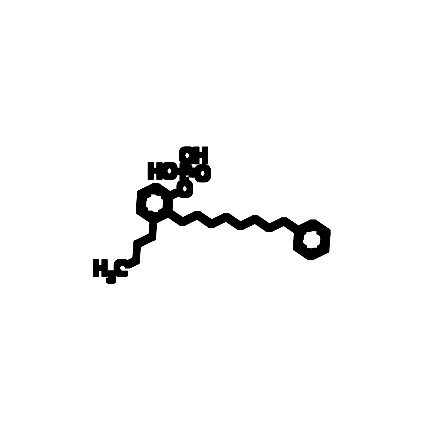 CCCCc1cccc(OP(=O)(O)O)c1CCCCCCCCc1ccccc1